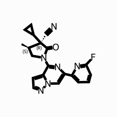 C[C@@H]1CN(c2nc(-c3cccc(F)n3)cn3nccc23)C(=O)[C@]1(C#N)C1CC1